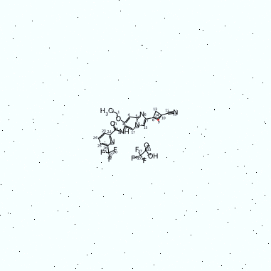 CCOc1cc2nc(C34CC(C#N)(C3)C4)cn2cc1NC(=O)c1cccc(C(F)(F)F)n1.O=C(O)C(F)(F)F